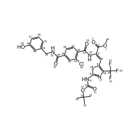 COC(=O)/C(=C/c1sc(NC(=O)OC(C)(C)C)nc1C(F)(F)F)NC(=O)c1ccc(C(=O)NCc2cccc(O)c2)cc1Cl